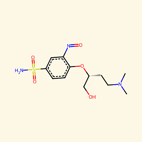 CN(C)CC[C@H](CO)Oc1ccc(S(N)(=O)=O)cc1N=O